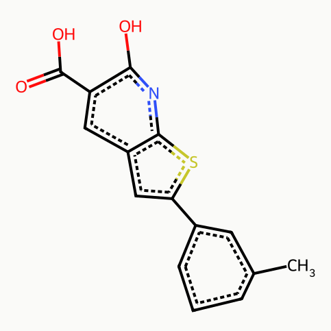 Cc1cccc(-c2cc3cc(C(=O)O)c(O)nc3s2)c1